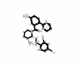 Cc1ccc(-c2ncccn2)c(C(=O)N2CCC[C@@H](C)[C@H]2CNc2ncc(F)cc2F)c1